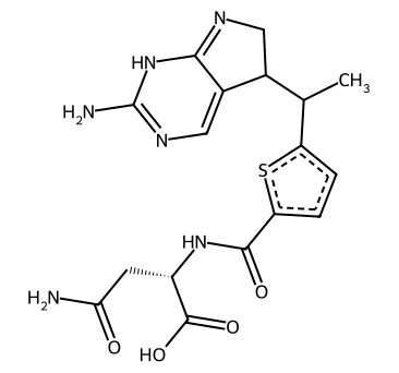 CC(c1ccc(C(=O)N[C@@H](CC(N)=O)C(=O)O)s1)C1CN=C2NC(N)=NC=C21